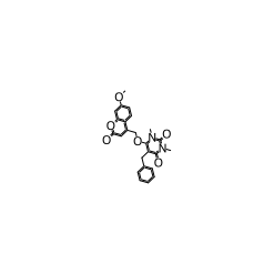 COc1ccc2c(COc3c(Cc4ccccc4)c(=O)n(C)c(=O)n3C)cc(=O)oc2c1